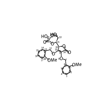 COc1ccccc1COC1=C(OCc2ccccc2OC)[C@@H]([C@H](CO)OP(=O)(O)O)OC1=O